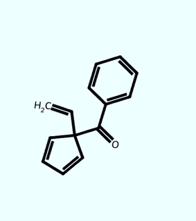 C=CC1(C(=O)c2ccccc2)C=CC=C1